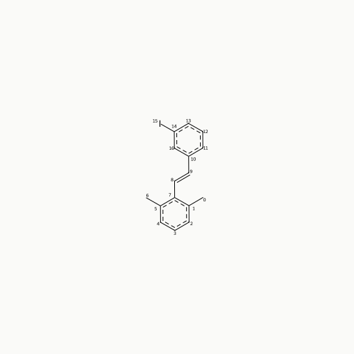 Cc1cccc(C)c1C=Cc1cccc(I)c1